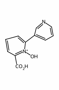 O=C(O)c1cccc(-c2cccnc2)[n+]1O